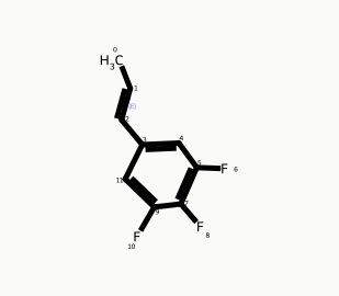 C/C=C/c1cc(F)c(F)c(F)c1